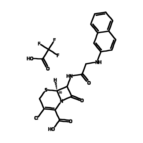 O=C(CNc1ccc2ccccc2c1)NC1C(=O)N2C(C(=O)O)=C(Cl)CS[C@@H]12.O=C(O)C(F)(F)F